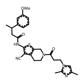 COc1cccc(C(C)CC(=O)Nc2sc3c(c2C#N)CCN(C(=O)CCn2cc(C)nc2C)C3)c1